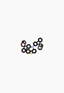 c1ccc2c(c1)-c1cc(N(c3ccc4c(c3)C3(c5ccccc5-4)C4CCC5CC(C4)CC3C5)c3cccc4sc5ccccc5c34)ccc1C21C2CCC3CC(C2)CC1C3